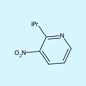 CC(C)c1ncccc1[N+](=O)[O-]